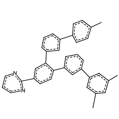 Cc1ccc(-c2cccc(-c3cc(-c4ncccn4)ccc3-c3cccc(-c4cc(C)cc(C)c4)c3)c2)cc1